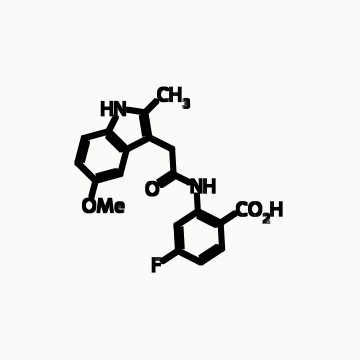 COc1ccc2[nH]c(C)c(CC(=O)Nc3cc(F)ccc3C(=O)O)c2c1